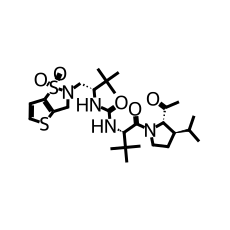 CC(=O)[C@@H]1[C@@H](C(C)C)CCN1C(=O)[C@@H](NC(=O)N[C@H](CN1Cc2sccc2S1(=O)=O)C(C)(C)C)C(C)(C)C